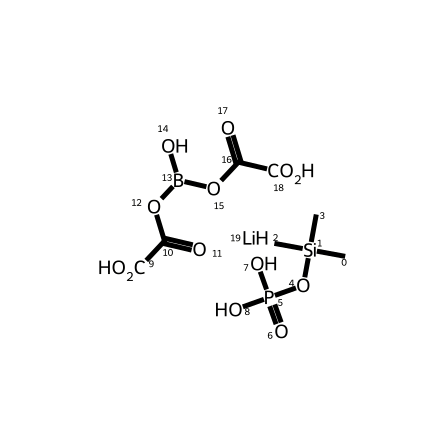 C[Si](C)(C)OP(=O)(O)O.O=C(O)C(=O)OB(O)OC(=O)C(=O)O.[LiH]